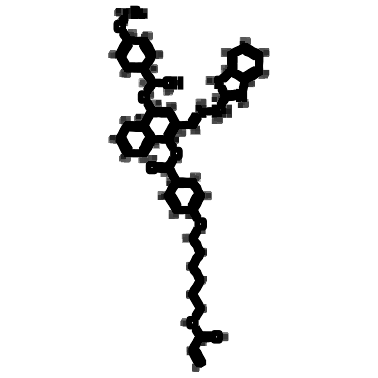 C=CC(=O)OCCCCCCOc1ccc(C(=O)Oc2c(/C=N/Nc3nc4ccccc4s3)cc(OC(O)c3ccc(OCCCC)cc3)c3ccccc23)cc1